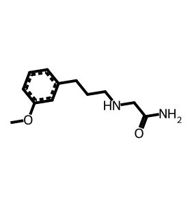 COc1cccc(CCCNCC(N)=O)c1